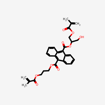 C=C(C)C(=O)OCCCOC(=O)c1c2ccccc2c(C(=O)OC(CO)COC(=O)C(=C)C)c2ccccc12